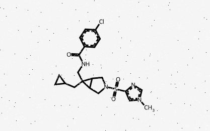 Cn1cnc(S(=O)(=O)N2CC3C(C2)C3(CNC(=O)c2ccc(Cl)cc2)CC2CC2)c1